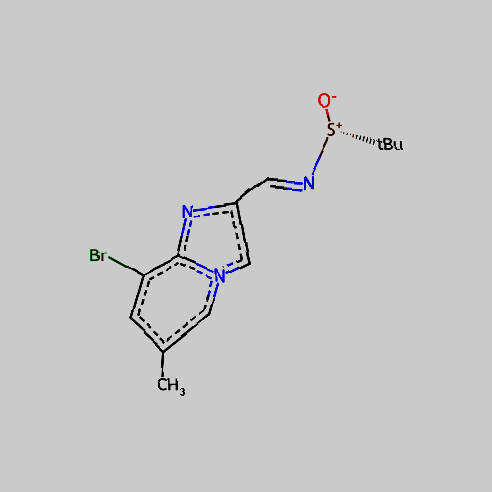 Cc1cc(Br)c2nc(/C=N/[S@+]([O-])C(C)(C)C)cn2c1